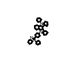 c1ccc(-n2c(-c3ccc(-n4c5ccccc5c5c6c7ccccc7n(-c7ccccc7)c6c6ccccc6c54)cc3)nc3ccccc32)cc1